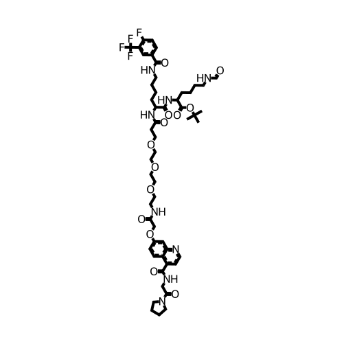 CC(C)(C)OC(=O)C(CCCCNC=O)NC(=O)C(CCCCNC(=O)c1ccc(F)c(C(F)(F)F)c1)NC(=O)CCOCCOCCOCCNC(=O)COc1ccc2c(C(=O)NCC(=O)N3CCCC3)ccnc2c1